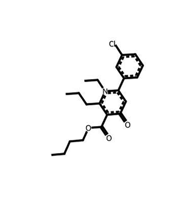 CCCCOC(=O)c1c(CCC)n(CC)c(-c2cccc(Cl)c2)cc1=O